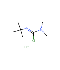 CN(C)C(Cl)=NC(C)(C)C.Cl